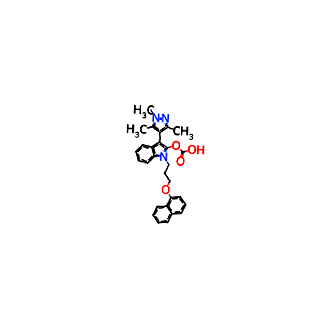 Cc1nn(C)c(C)c1-c1c(OC(=O)O)n(CCCOc2cccc3ccccc23)c2ccccc12